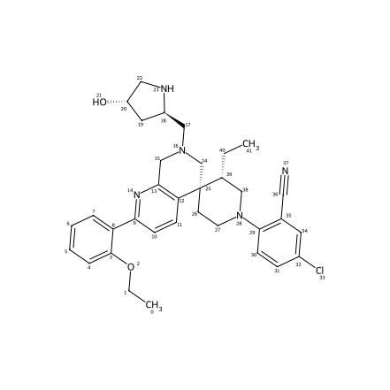 CCOc1ccccc1-c1ccc2c(n1)CN(C[C@H]1C[C@H](O)CN1)C[C@]21CCN(c2ccc(Cl)cc2C#N)C[C@H]1CC